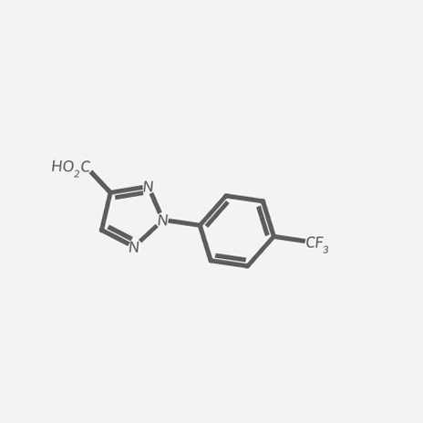 O=C(O)c1cnn(-c2ccc(C(F)(F)F)cc2)n1